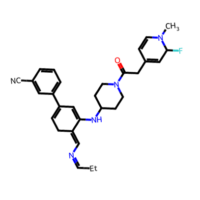 CC/C=N\C=C1/CC=C(c2cccc(C#N)c2)C=C1NC1CCN(C(=O)CC2=CC(F)N(C)C=C2)CC1